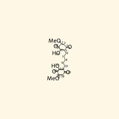 COC1=CC(=O)C(CCCCCC2=C(O)C(=O)C(OC)=CC2=O)=C(O)C1=O